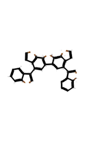 c1ccc2c(-c3cc4c5cc(-c6csc7ccccc67)c6ccsc6c5sc4c4sccc34)csc2c1